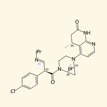 CC(C)/N=C/[C@@H](C(=O)N1CCN(c2ccnc3c2[C@H](C)CC(=O)N3)[C@H]2C[C@]21C)c1ccc(Cl)cc1